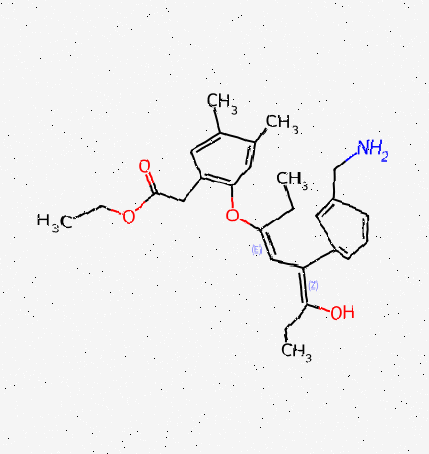 CCOC(=O)Cc1cc(C)c(C)cc1O/C(=C/C(=C(/O)CC)c1cccc(CN)c1)CC